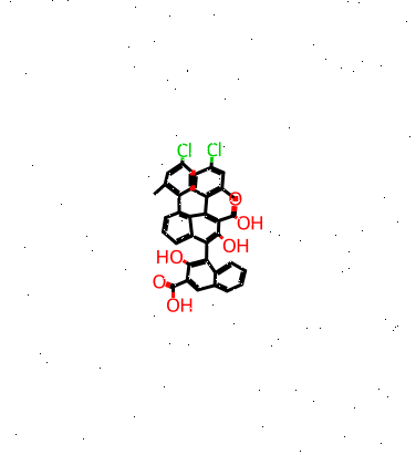 Cc1cc(Cl)ccc1-c1cccc2c(-c3c(O)c(C(=O)O)cc4ccccc34)c(O)c(C(=O)O)c(-c3ccc(Cl)cc3C)c12